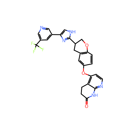 O=C1CCc2c(Oc3ccc4c(c3)CC(c3nc(-c5cncc(C(F)(F)F)c5)c[nH]3)CO4)ccnc2N1